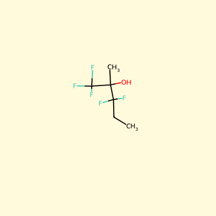 CCC(F)(F)C(C)(O)C(F)(F)F